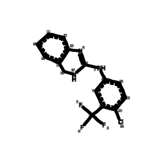 FC(F)(F)c1cc(NC2=Nc3ccccc3CN2)ccc1Cl